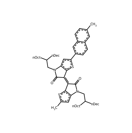 CCCCCCCCCCC(CCCCCCCC)CN1C(=O)/C(=C2/C(=O)N(CC(CCCCCCCC)CCCCCCCCCC)c3cc(-c4ccc5cc(C)ccc5c4)sc32)c2sc(C)cc21